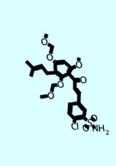 COCOc1cc(OC)c(C(=O)/C=C/c2ccc(Cl)c(S(N)(=O)=O)c2)c(OCOC)c1CC=C(C)C